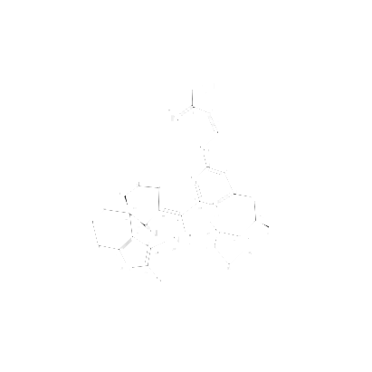 C[C@H](Oc1cc(N/C=C\C(=N)C(=O)O)nc(/C(O)=C2\CCC[C@@]3(CCCc4sc(N)c(C#N)c43)C2=N)n1)[C@@H]1CCCN1C